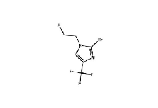 FCCn1cc(C(F)(F)F)nc1Br